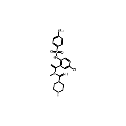 C=C(c1cc(Cl)ccc1NS(=O)(=O)c1ccc(C(C)(C)C)cc1)N(C)C(=N)C1CCNCC1